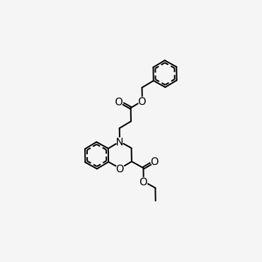 CCOC(=O)C1CN(CCC(=O)OCc2ccccc2)c2ccccc2O1